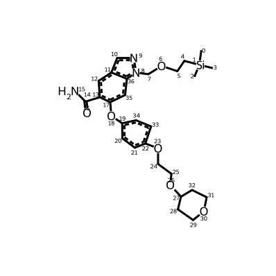 C[Si](C)(C)CCOCn1ncc2cc(C(N)=O)c(Oc3ccc(OCCOC4CCOCC4)cc3)cc21